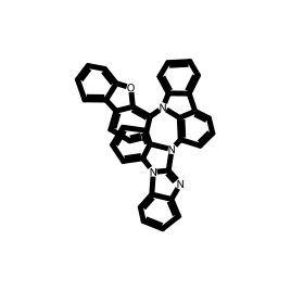 c1ccc2c(c1)nc1n(-c3cccc4c5ccccc5n(-c5nccc6c5oc5ccccc56)c34)c3ccccc3n21